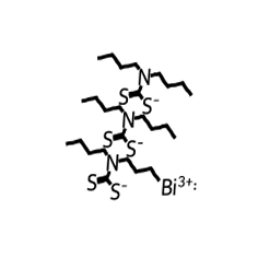 CCCCN(CCCC)C(=S)[S-].CCCCN(CCCC)C(=S)[S-].CCCCN(CCCC)C(=S)[S-].[Bi+3]